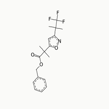 CC(C)(C(=O)OCc1ccccc1)c1cc(C(C)(C)C(F)(F)F)no1